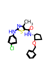 Cc1nc(Nc2ccc(Cl)cc2)sc1C(=O)N[C@@H]1CCC[C@H]1OCc1ccccc1